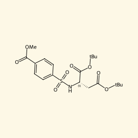 COC(=O)c1ccc(S(=O)(=O)N[C@@H](CC(=O)OC(C)(C)C)C(=O)OC(C)(C)C)cc1